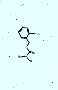 CCC(C)N(C(=O)OCc1ccccc1[N+](=O)[O-])C(C)CC